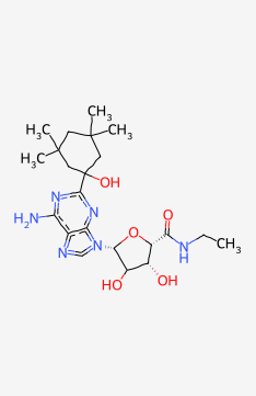 CCNC(=O)[C@H]1O[C@@H](n2cnc3c(N)nc(C4(O)CC(C)(C)CC(C)(C)C4)nc32)C(O)[C@H]1O